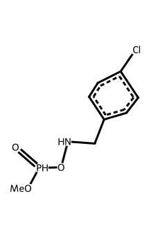 CO[PH](=O)ONCc1ccc(Cl)cc1